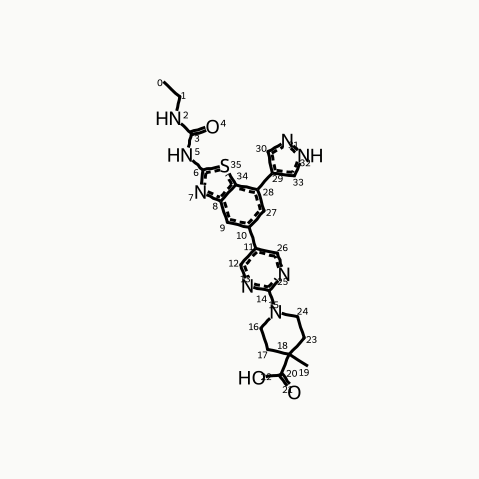 CCNC(=O)Nc1nc2cc(-c3cnc(N4CCC(C)(C(=O)O)CC4)nc3)cc(-c3cn[nH]c3)c2s1